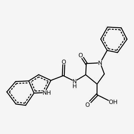 O=C(NC1C(=O)N(c2ccccc2)CC1C(=O)O)c1cc2ccccc2[nH]1